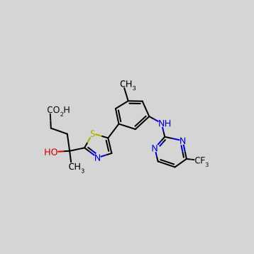 Cc1cc(Nc2nccc(C(F)(F)F)n2)cc(-c2cnc(C(C)(O)CCC(=O)O)s2)c1